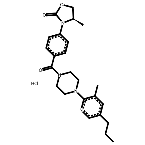 CCCc1cnc(N2CCN(C(=O)c3ccc(N4C(=O)OC[C@H]4C)cc3)CC2)c(C)c1.Cl